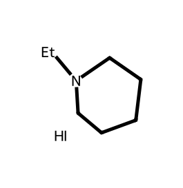 CCN1CCCCC1.I